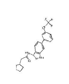 O=C(CC1CCCC1)Nc1n[nH]c2cc(-c3cccc(OC(F)(F)F)c3)ccc12